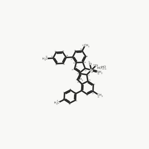 CCC1=Cc2c(-c3ccc(C)cc3)cc(C)cc2[CH]1[Zr](=[SiH2])([CH2]C)([CH2]C)[CH]1C(C)=Cc2c(-c3ccc(C)cc3)cc(C)cc21.Cl.Cl